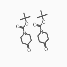 CC(C)(C)OC(=O)N1CCC(=O)CC1.CC(C)(C)OC(=O)N1CCC(=O)CC1